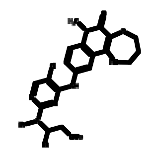 CCC(COC)N(c1ncc(Cl)c(Nc2ccc3c(c2)c2c(c(=O)n3C)OCCCN2)n1)C(C)C